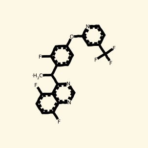 [CH2]C(c1ccc(Oc2cc(C(F)(F)F)ccn2)cc1F)c1ncnc2c(F)ccc(F)c12